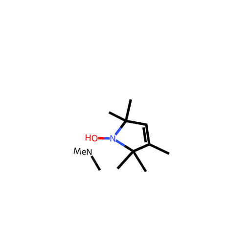 CC1=CC(C)(C)N(O)C1(C)C.CNC